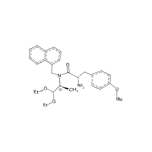 CCOC(OCC)[C@H](C)N(Cc1cccc2ccccc12)C(=O)C(N)Cc1ccc(OC(C)(C)C)cc1